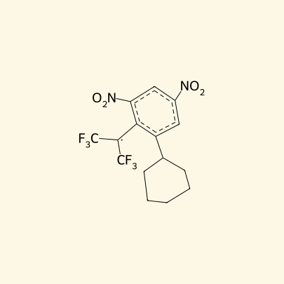 O=[N+]([O-])c1cc(C2CCCCC2)c([C](C(F)(F)F)C(F)(F)F)c([N+](=O)[O-])c1